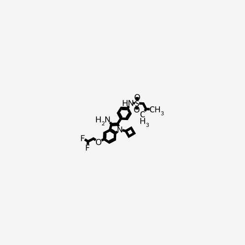 CC(C)CS(=O)(=O)Nc1ccc(-c2c(N)c3cc(OCC(F)F)ccc3n2C2CCC2)cc1